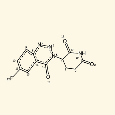 O=C1CCC(n2nnc3ccc(F)cc3c2=O)C(=O)N1